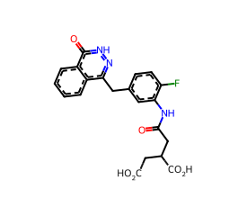 O=C(O)CC(CC(=O)Nc1cc(Cc2n[nH]c(=O)c3ccccc23)ccc1F)C(=O)O